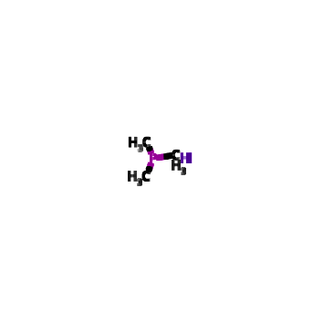 CP(C)C.I